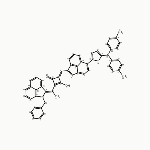 C/C(C1=C(O)/C(=C\C2=Nc3ccc(-c4ccc(N(c5ccc(C)cc5)c5ccc(C)cc5)s4)c4cccc2c34)C1=O)=c1/c2cccc3cccc(c32)n1Cc1ccccc1